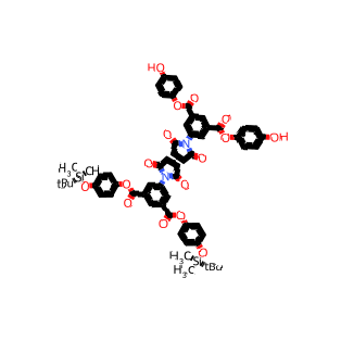 CC(C)(C)[Si](C)(C)Oc1ccc(OC(=O)c2cc(C(=O)Oc3ccc(O[Si](C)(C)C(C)(C)C)cc3)cc(N3C(=O)C=CC3=O)c2)cc1.O=C(Oc1ccc(O)cc1)c1cc(C(=O)Oc2ccc(O)cc2)cc(N2C(=O)C=CC2=O)c1